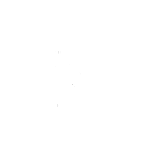 Cc1ccc(-c2nc(Nc3cccc(Br)c3)sc2CC(=O)O)cc1